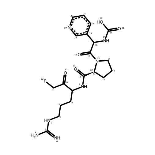 N=C(N)NCCCC(NC(=O)[C@@H]1CCCN1C(=O)C(NC(=O)O)c1cccnc1)C(=O)CF